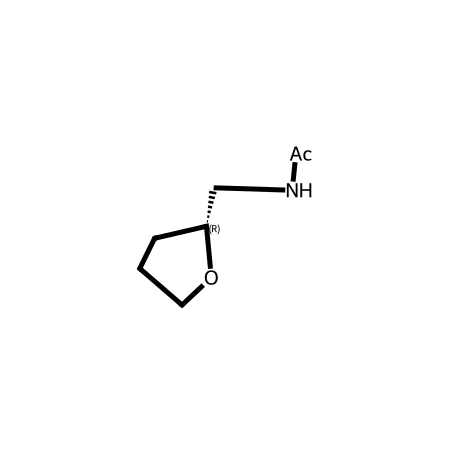 CC(=O)NC[C@H]1CCCO1